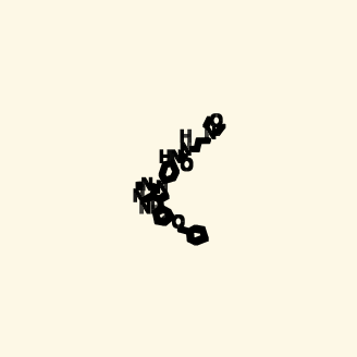 Nc1ncnc2c1c(-c1cccc(OCc3ccccc3)c1)cn2[C@H]1CC[C@@H](NC(=O)NCCCN2CCOCC2)CC1